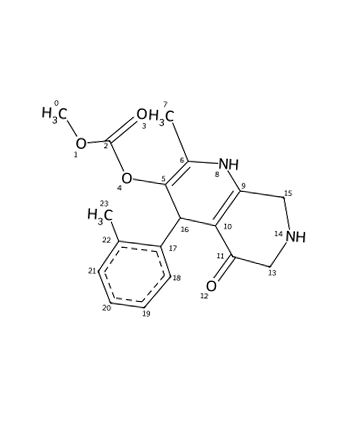 COC(=O)OC1=C(C)NC2=C(C(=O)CNC2)C1c1ccccc1C